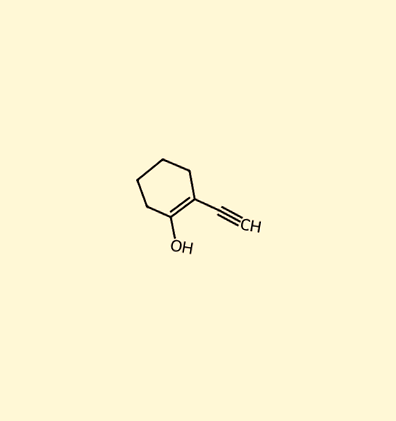 C#CC1=C(O)CCCC1